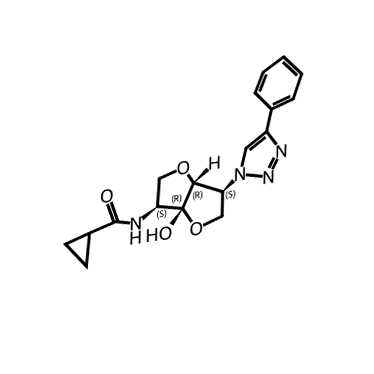 O=C(N[C@H]1CO[C@@H]2[C@@H](n3cc(-c4ccccc4)nn3)CO[C@]12O)C1CC1